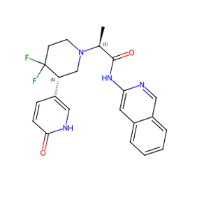 C[C@@H](C(=O)Nc1cc2ccccc2cn1)N1CCC(F)(F)[C@@H](c2ccc(=O)[nH]c2)C1